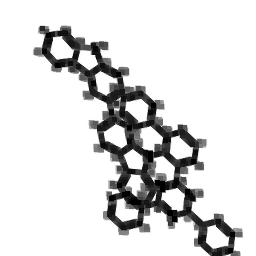 c1ccc(-c2nc(-c3ccccc3)nc(-c3cccc(-c4ccccc4)c3-n3c4ccccc4c4ccc(-c5ccc6sc7ccccc7c6c5)cc43)n2)cc1